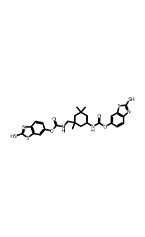 CC1(C)CC(NC(=O)Oc2ccc3nc(S)sc3c2)CC(C)(CNC(=O)Oc2ccc3nc(S)sc3c2)C1